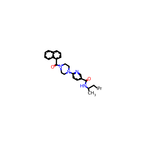 CC(C)CC(C)NC(=O)c1ccc(N2CCN(C(=O)c3cccc4ccccc34)CC2)nc1